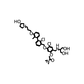 Cc1c(OCCCN2CC[C@@H](O)C2)cccc1-c1cccc(COc2cc(OCC(=O)N(C)C)c(CNC(CO)CO)cc2Cl)c1Cl